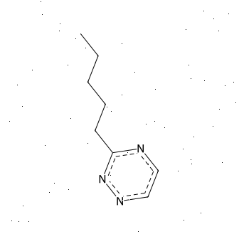 CCCCCc1nccnn1